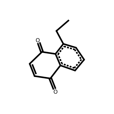 CCc1cccc2c1C(=O)C=CC2=O